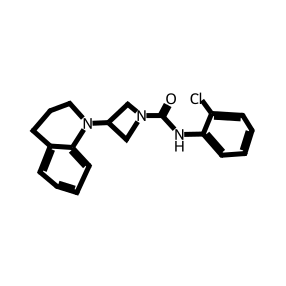 O=C(Nc1ccccc1Cl)N1CC(N2CCCc3ccccc32)C1